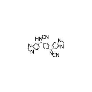 N#C/N=C1/c2cc3c(cc2-c2cc4nccnc4cc21)C(NC#N)c1cc2nccnc2cc1-3